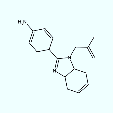 C=C(C)CN1C(C2C=CC(N)=CC2)=NC2CC=CCC21